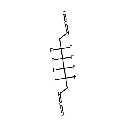 O=C=NCC(F)(F)C(F)(F)C(F)(F)C(F)(F)CN=C=O